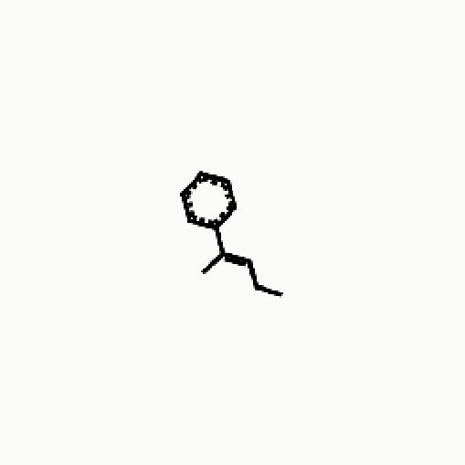 CCC=C(C)c1cc[c]cc1